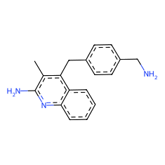 Cc1c(N)nc2ccccc2c1Cc1ccc(CN)cc1